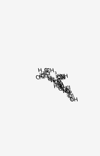 CC1(C)CCC(CN2CCN(c3ccc(C(=O)NS(=O)(=O)c4cnc(OC[C@]5(F)CC[C@@H](O)CC5)c(Cl)c4)c(Oc4cccc5[nH]ncc45)c3)CC2)=C(c2ccc(Cl)cc2)C1